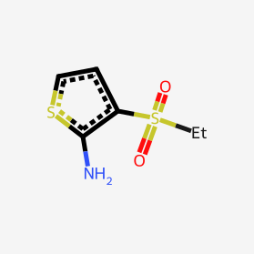 CCS(=O)(=O)c1ccsc1N